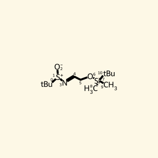 CC(C)(C)[S+]([O-])N=CCO[Si](C)(C)C(C)(C)C